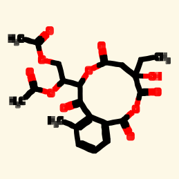 CCC1(O)CC(=O)OC(C(COC(C)=O)OC(C)=O)C(=O)c2c(C)cccc2C(=O)OC1=O